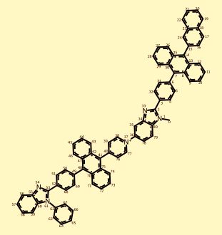 Cn1c(-c2ccc(-c3c4ccccc4c(-c4ccc5ccccc5c4)c4ccccc34)cc2)nc2cc(-[n+]3ccc(-c4c5ccccc5c(-c5ccc(-c6nc7ccccc7n6-c6ccccc6)cc5)c5ccccc45)cc3)ccc21